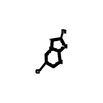 CCc1[c]n2cc(Cl)cnc2n1